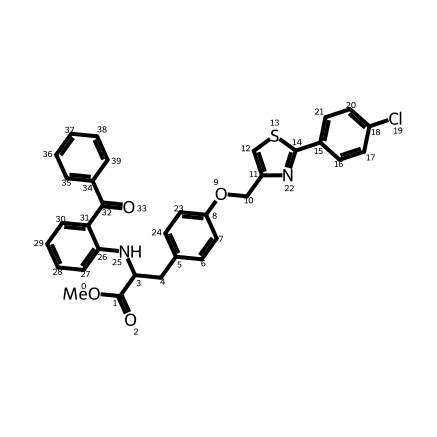 COC(=O)C(Cc1ccc(OCc2csc(-c3ccc(Cl)cc3)n2)cc1)Nc1ccccc1C(=O)c1ccccc1